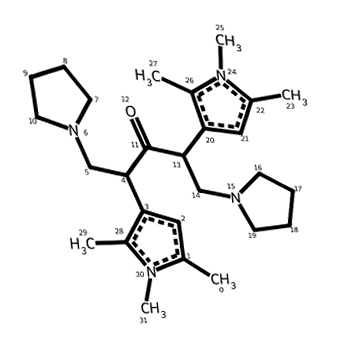 Cc1cc(C(CN2CCCC2)C(=O)C(CN2CCCC2)c2cc(C)n(C)c2C)c(C)n1C